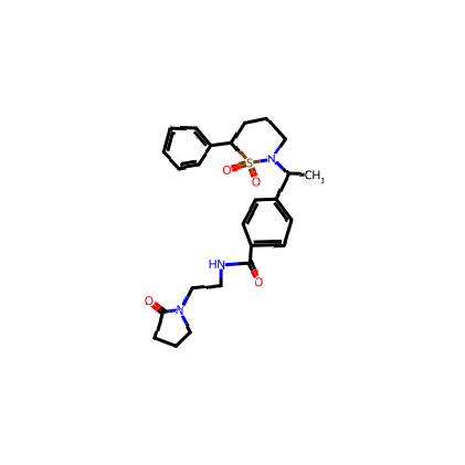 CC(c1ccc(C(=O)NCCN2CCCC2=O)cc1)N1CCCC(c2ccccc2)S1(=O)=O